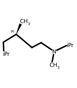 CC(C)C[C@@H](C)CCN(C)C(C)C